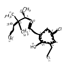 C[C@@H](/N=C/c1cc(Cl)cc(Cl)c1O)C(C)(C)CO